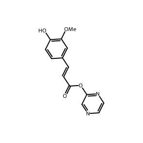 COc1cc(C=CC(=O)Oc2cnccn2)ccc1O